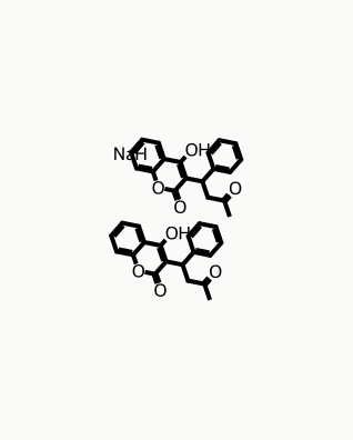 CC(=O)CC(c1ccccc1)c1c(O)c2ccccc2oc1=O.CC(=O)CC(c1ccccc1)c1c(O)c2ccccc2oc1=O.[NaH]